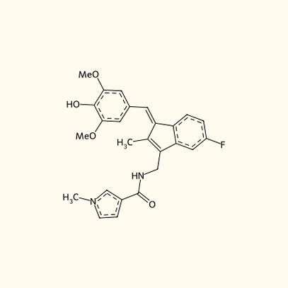 COc1cc(C=C2C(C)=C(CNC(=O)c3ccn(C)c3)c3cc(F)ccc32)cc(OC)c1O